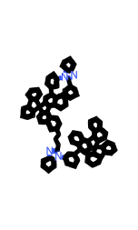 c1ccc(-c2nc3ccccc3n2-c2cccc(-c3cc4c(c5ccccc35)-c3c(ccc5cc(CCCc6nc7ccccc7n6-c6cccc(-c7cc8c(c9ccccc79)-c7c(ccc9ccccc79)C87c8ccccc8-c8ccccc87)c6)ccc35)C43c4ccccc4-c4ccccc43)c2)cc1